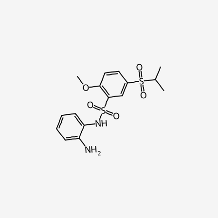 COc1ccc(S(=O)(=O)C(C)C)cc1S(=O)(=O)Nc1ccccc1N